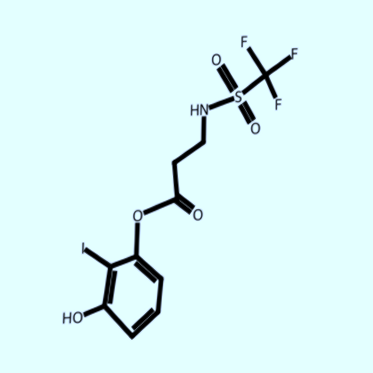 O=C(CCNS(=O)(=O)C(F)(F)F)Oc1cccc(O)c1I